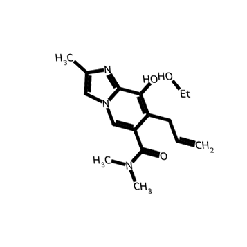 C=CCc1c(C(=O)N(C)C)cn2cc(C)nc2c1O.CCO